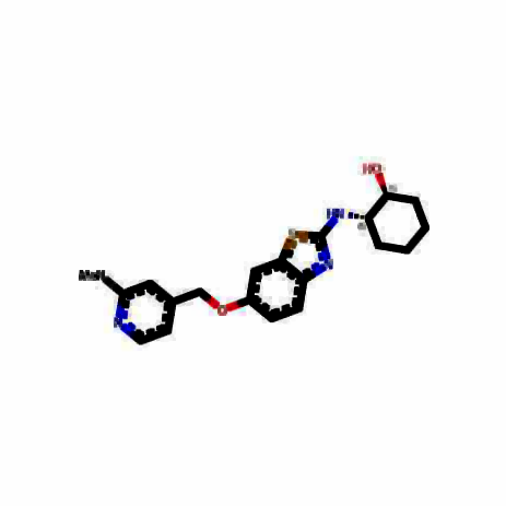 CNc1cc(COc2ccc3nc(N[C@H]4CCCC[C@@H]4O)sc3c2)ccn1